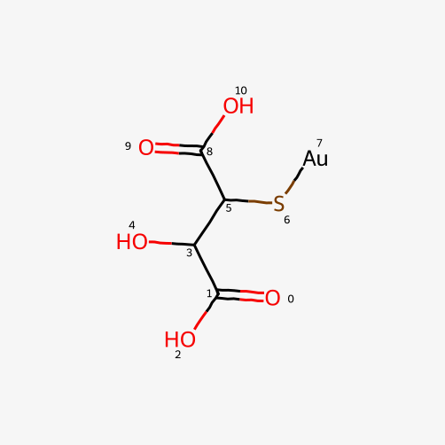 O=C(O)C(O)C([S][Au])C(=O)O